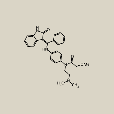 COCC(=O)N(CCN(C)C)c1ccc(NC(=C2C(=O)Nc3ccccc32)c2ccccc2)cc1